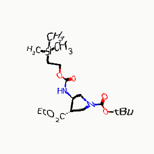 CCOC(=O)[C@H]1CN(C(=O)OC(C)(C)C)C[C@@H]1NC(=O)OCC[Si](C)(C)C